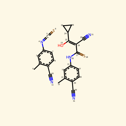 Cc1cc(N=C=S)ccc1C#N.Cc1cc(NC(=S)C(C#N)=C(O)C2CC2)ccc1C#N